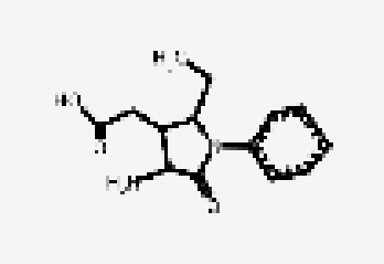 CCC1C(CC(=O)O)C(N)C(=O)N1c1ccccc1